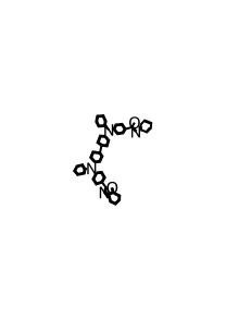 C1=CC2N=C(c3ccc(N(c4ccccc4)c4ccc(-c5ccc(N(c6ccccc6)c6ccc(-c7nc8ccccc8o7)cc6)cc5)cc4)cc3)OC2C=C1